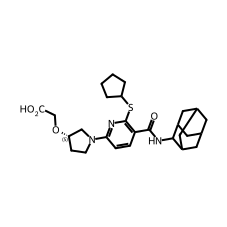 O=C(O)CO[C@H]1CCN(c2ccc(C(=O)NC3C4CC5CC(C4)CC3C5)c(SC3CCCC3)n2)C1